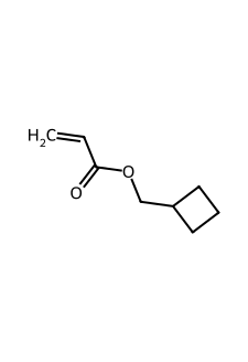 C=CC(=O)OCC1CCC1